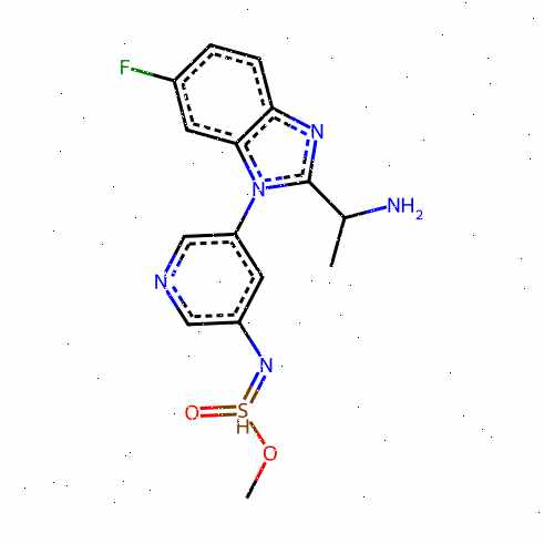 CO[SH](=O)=Nc1cncc(-n2c(C(C)N)nc3ccc(F)cc32)c1